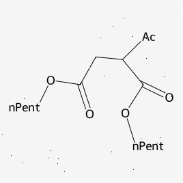 CCCCCOC(=O)CC(C(C)=O)C(=O)OCCCCC